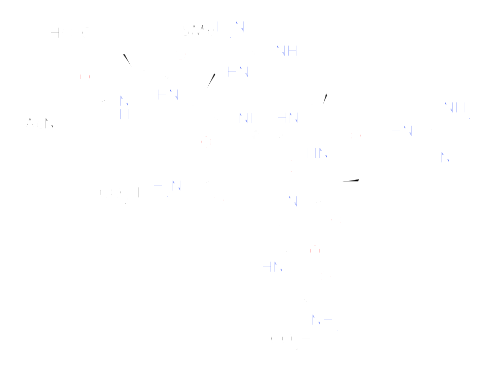 CSCC[C@H](NC(=O)[C@H](CCC(=O)O)NC(=O)[C@H](CCC(=O)O)NC(C)=O)C(=O)N[C@@H](CCC(N)=O)C(=O)N[C@@H](CCCNC(=N)N)C(=O)N[C@@H](CCCNC(=N)N)C(=O)N1CCC[C@H]1C(=O)N[C@@H](CC(=O)O)C(N)=O